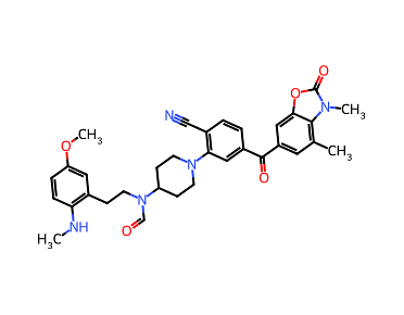 CNc1ccc(OC)cc1CCN(C=O)C1CCN(c2cc(C(=O)c3cc(C)c4c(c3)oc(=O)n4C)ccc2C#N)CC1